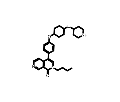 CCCCn1cc(-c2ccc(OC3CCC(OC4CCNCC4)CC3)cc2)c2ccncc2c1=O